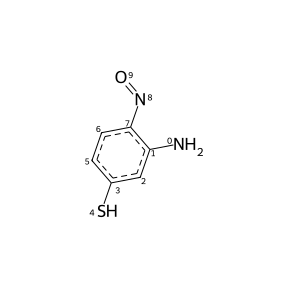 Nc1cc(S)ccc1N=O